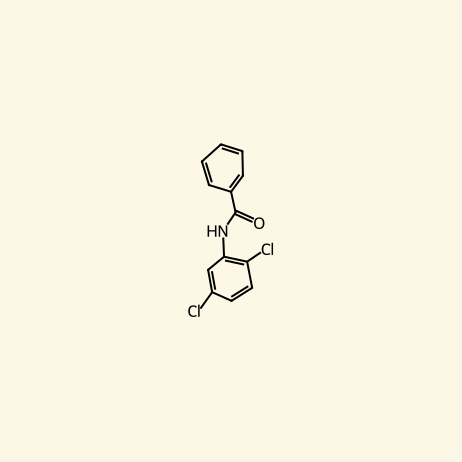 O=C(Nc1cc(Cl)ccc1Cl)c1ccccc1